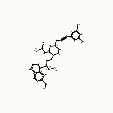 COc1ccc2nccc(C(CC[C@@H]3CCN(CC#Cc4cc(F)cc(F)c4)C[C@@H]3CC(=O)O)NO)c2c1